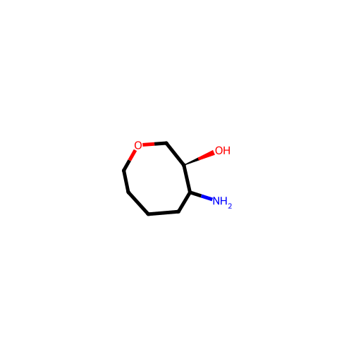 NC1CCCCOC[C@H]1O